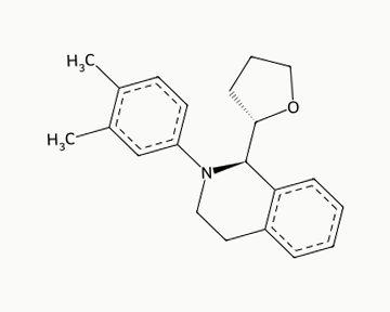 Cc1ccc(N2CCc3ccccc3[C@@H]2[C@@H]2CCCO2)cc1C